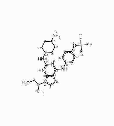 CCC(C)n1cnc2c(Nc3ccc(OC(F)(F)F)cc3)nc(NC3CCC(N)CC3)nc21